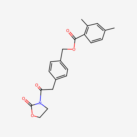 Cc1ccc(C(=O)OCc2ccc(CC(=O)N3CCOC3=O)cc2)c(C)c1